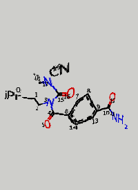 CC(C)CCN(C(=O)c1ccc(C(N)=O)cc1)C(=O)N(C)C#N